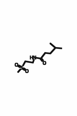 CC(C)CCC(=O)NCCS(C)(=O)=O